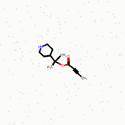 CC#CC(=O)OC(C)(C)C1CCNCC1